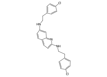 Clc1ccc(CCNc2ccc3ccc(NCCc4ccc(Cl)cc4)nc3c2)cc1